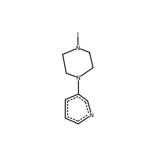 IN1CCN(c2cccnc2)CC1